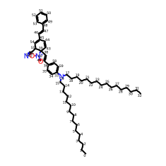 CCCCCCCCCCCCCCCCN(CCCCCCCCCCCCCCCC)c1ccc(C=CC2([N+](=O)[O-])C=CC(C=Cc3ccccc3)=CC2C#N)cc1